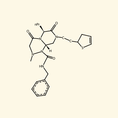 CCC[C@H]1C(=O)N(CCC2CC=CS2)C[C@H]2N1C(=O)CN(C)N2C(=O)NCc1ccccc1